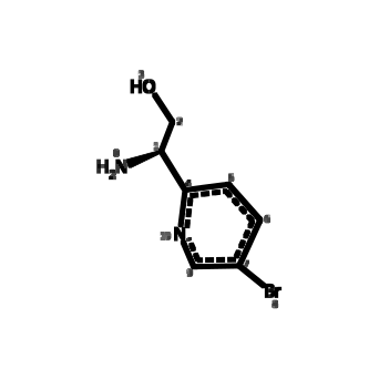 N[C@@H](CO)c1ccc(Br)cn1